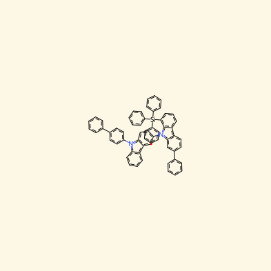 c1ccc(-c2ccc(-n3c4ccccc4c4cc(-n5c6cc(-c7ccccc7)ccc6c6cccc([Si](c7ccccc7)(c7ccccc7)c7ccccc7)c65)ccc43)cc2)cc1